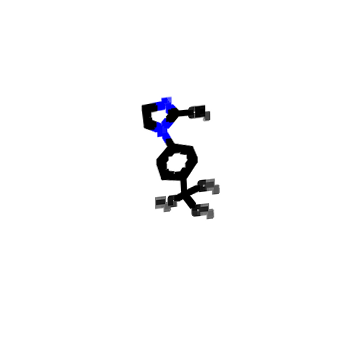 Cc1nccn1-c1ccc(C(C)(C)C)cc1